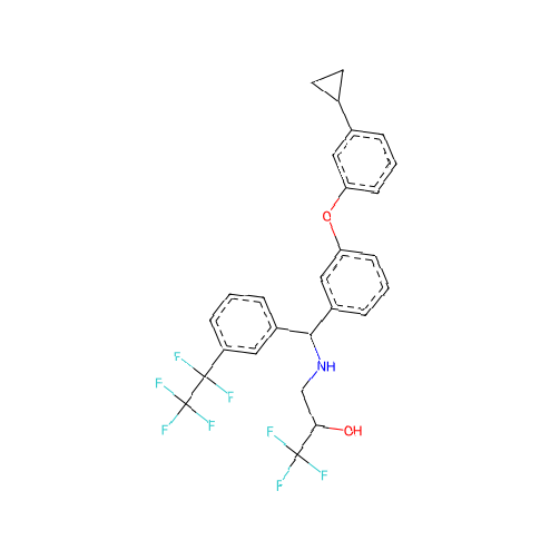 OC(CNC(c1cccc(Oc2cccc(C3CC3)c2)c1)c1cccc(C(F)(F)C(F)(F)F)c1)C(F)(F)F